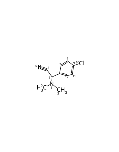 CN(C)C(C#N)c1ccc(Cl)cc1